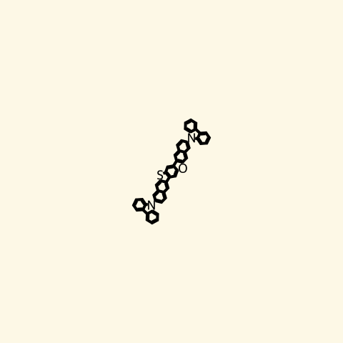 c1ccc2c(c1)c1ccccc1n2-c1ccc2cc3c(cc2c1)oc1cc2c(cc13)sc1cc3cc(-n4c5ccccc5c5ccccc54)ccc3cc12